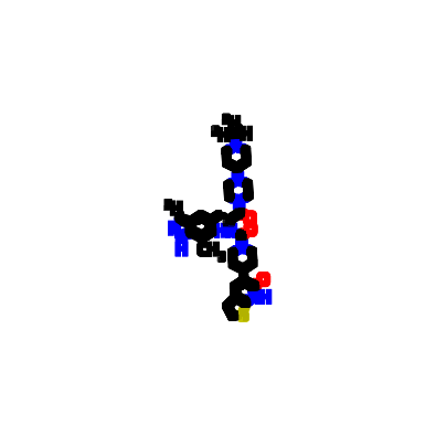 [2H]c1n[nH]c2c(C)cc(C[C@@H](NC(=O)N3CCC(c4cc5c([nH]c4=O)SCC5)CC3)C(=O)N3CCN(C4CCN(C([2H])([2H])[2H])CC4)CC3)cc12